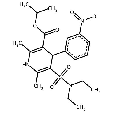 CCN(CC)S(=O)(=O)C1=C(C)NC(C)=C(C(=O)OC(C)C)C1c1cccc([N+](=O)[O-])c1